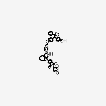 CC/C(=C(\c1ccc(O)cc1)c1ccc(OCCN2CCN(C3CC4(CCCCCCC4)C(Oc4ccc5c(c4)C(=O)N(C4CCC(=O)NC4=O)C5=O)CN3)CC2)cc1)c1ccccc1